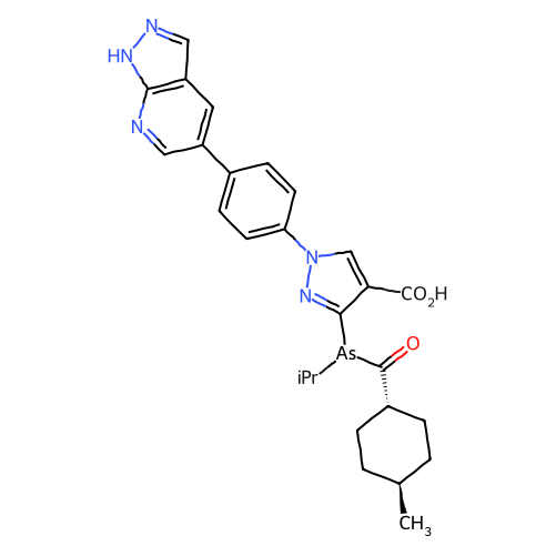 CC(C)[As](c1nn(-c2ccc(-c3cnc4[nH]ncc4c3)cc2)cc1C(=O)O)C(=O)[C@H]1CC[C@H](C)CC1